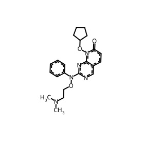 CN(C)CCON(c1ccccc1)c1ncc2ccc(=O)n(OC3CCCC3)c2n1